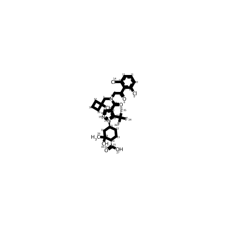 CC1(CN(CC(=O)c2c(Cl)cccc2Cl)C(=O)c2cnn([C@H]3CC[C@H](C(=O)O)C(C)(C)C3)c2C(F)(F)F)CCC1